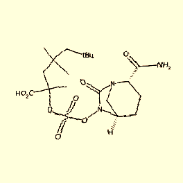 CC(C)(C)CC(C)(C)CC(C)(OS(=O)(=O)ON1C(=O)N2C[C@H]1CC[C@H]2C(N)=O)C(=O)O